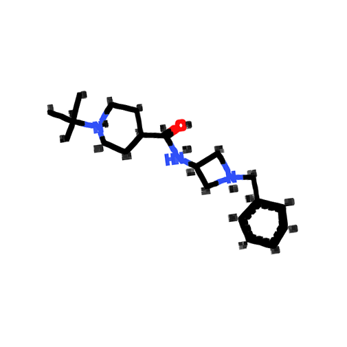 CC(C)(C)N1CCC(C(=O)NC2CN(Cc3ccccc3)C2)CC1